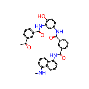 CNc1cccc2c(NC(=O)c3cccc(C(=O)Nc4ccc(O)c(NC(=O)c5cccc(C(C)=O)c5)c4)c3)cccc12